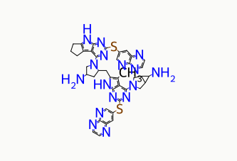 Cc1c(CC2CC(N)CN2c2nc(Sc3cnc4nccnc4c3)nc3[nH]c4c(c23)CCC4)[nH]c2nc(Sc3cnc4nccnc4c3)nc(N3CC4C(N)C4C3)c12